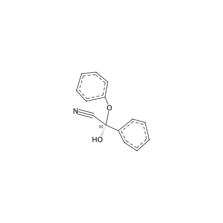 N#C[C@@](O)(Oc1ccccc1)c1ccccc1